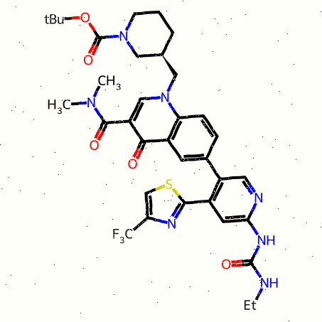 CCNC(=O)Nc1cc(-c2nc(C(F)(F)F)cs2)c(-c2ccc3c(c2)c(=O)c(C(=O)N(C)C)cn3C[C@@H]2CCCN(C(=O)OC(C)(C)C)C2)cn1